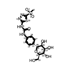 CS(=O)(=O)c1nnc(NC(=O)Nc2ccc([C@H]3O[C@H](CO)[C@@H](O)[C@H](O)[C@@H]3O)cc2)s1